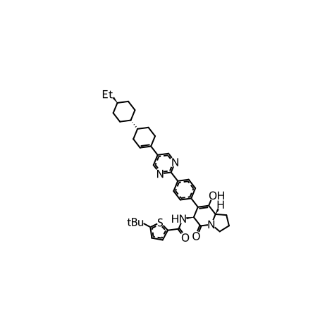 CC[C@H]1CC[C@H](C2CC=C(c3cnc(-c4ccc(C5=C(O)[C@@H]6CCCN6C(=O)[C@H]5NC(=O)c5ccc(C(C)(C)C)s5)cc4)nc3)CC2)CC1